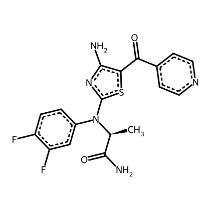 C[C@@H](C(N)=O)N(c1ccc(F)c(F)c1)c1nc(N)c(C(=O)c2ccncc2)s1